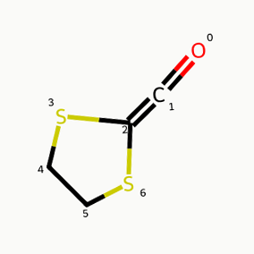 O=C=C1SCCS1